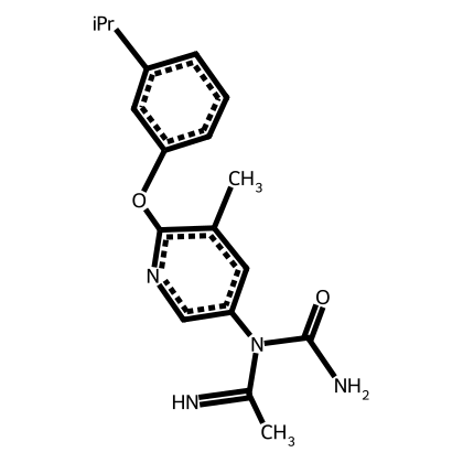 CC(=N)N(C(N)=O)c1cnc(Oc2cccc(C(C)C)c2)c(C)c1